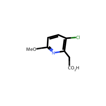 COc1ccc(Cl)c(CC(=O)O)n1